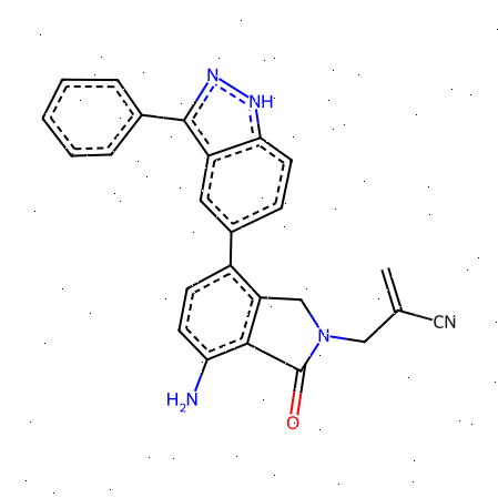 C=C(C#N)CN1Cc2c(-c3ccc4[nH]nc(-c5ccccc5)c4c3)ccc(N)c2C1=O